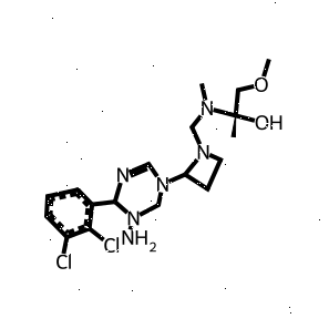 COC[C@](C)(O)N(C)CN1CCC1N1C=NC(c2cccc(Cl)c2Cl)N(N)C1